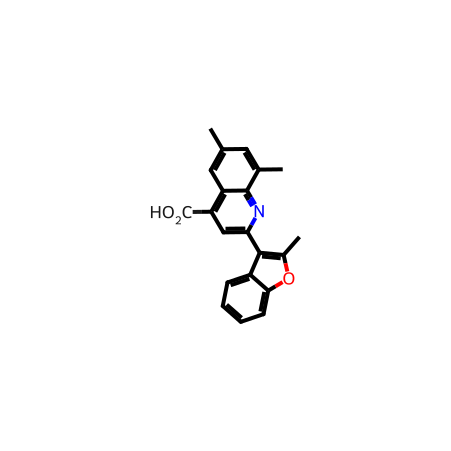 Cc1cc(C)c2nc(-c3c(C)oc4ccccc34)cc(C(=O)O)c2c1